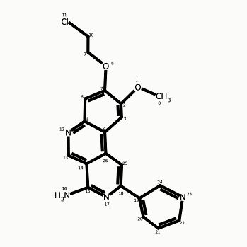 COc1cc2c(cc1OCCCl)ncc1c(N)nc(-c3cccnc3)cc12